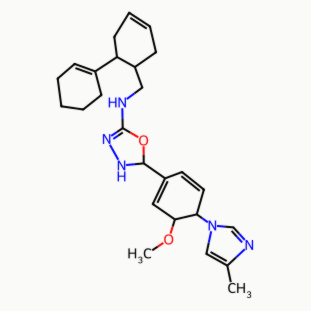 COC1C=C(C2NN=C(NCC3CC=CCC3C3=CCCCC3)O2)C=CC1n1cnc(C)c1